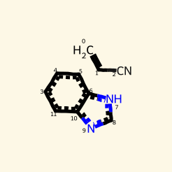 C=CC#N.c1ccc2[nH]cnc2c1